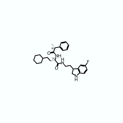 C[C@@H](C(=O)N[C@@H](CCC1CCCCC1)C(=O)NCCC1CNc2ccc(F)cc21)c1ccccc1